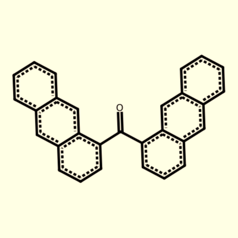 O=C(c1cccc2cc3ccccc3cc12)c1cccc2cc3ccccc3cc12